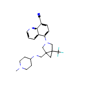 CN1CCC(NCC23CN(c4ccc(C#N)c5ncccc45)CC2(C(F)(F)F)C3)CC1